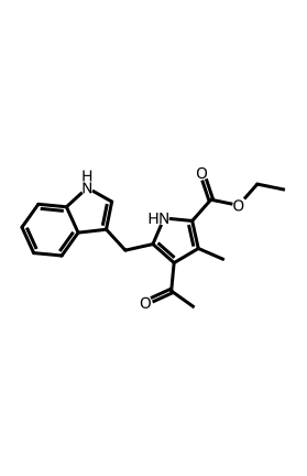 CCOC(=O)c1[nH]c(Cc2c[nH]c3ccccc23)c(C(C)=O)c1C